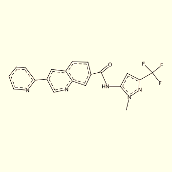 Cn1nc(C(F)(F)F)cc1NC(=O)c1ccc2cc(-c3ccccn3)cnc2c1